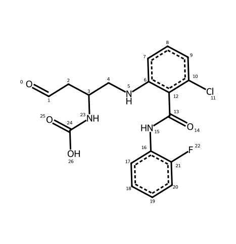 O=CCC(CNc1cccc(Cl)c1C(=O)Nc1ccccc1F)NC(=O)O